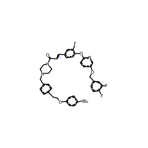 CC(C)(C)c1ccc(OCCc2ccc(CN3CCN(C(=O)/C=C/c4ccc(Oc5ccc(OCc6ccc(F)c(F)c6)cn5)c(F)c4)CC3)cc2)cc1